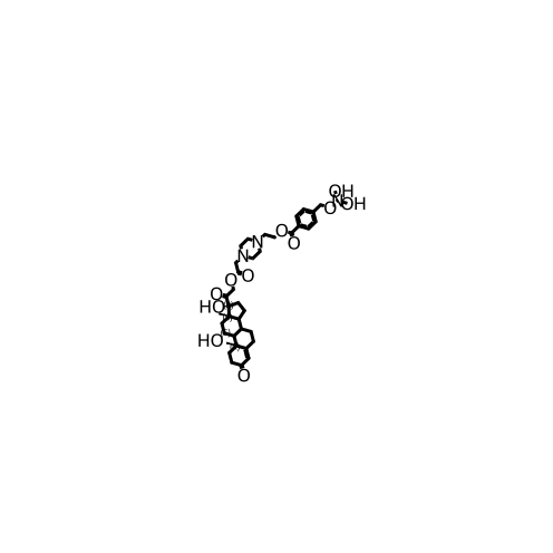 C[C@]12CCC(=O)C=C1CCC1C2[C@@H](O)C[C@@]2(C)C1CC[C@]2(O)C(=O)COC(=O)CN1CCN(CCOC(=O)c2ccc(CON(O)O)cc2)CC1